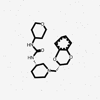 O=C(NC1CCOCC1)N[C@H]1CCCN(C[C@H]2COc3ccccc3O2)C1